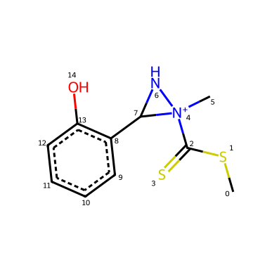 CSC(=S)[N+]1(C)NC1c1ccccc1O